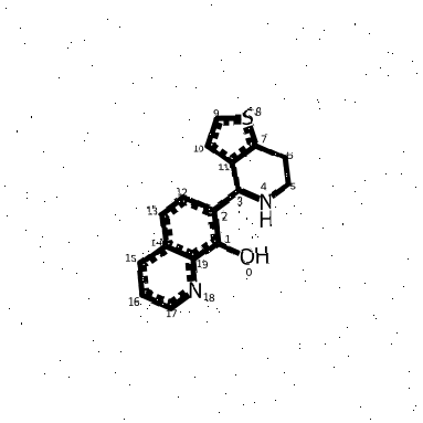 Oc1c(C2NCCc3sccc32)ccc2cccnc12